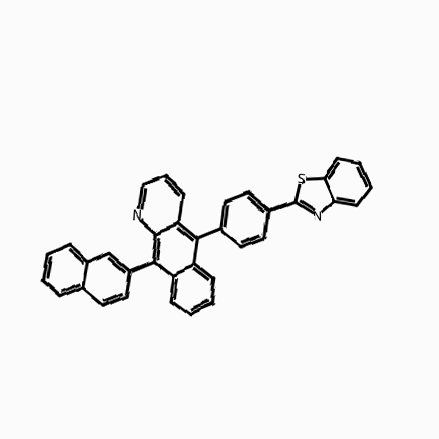 c1ccc2cc(-c3c4ccccc4c(-c4ccc(-c5nc6ccccc6s5)cc4)c4cccnc34)ccc2c1